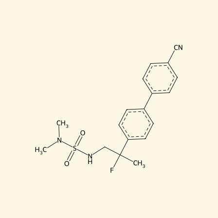 CN(C)S(=O)(=O)NCC(C)(F)c1ccc(-c2ccc(C#N)cc2)cc1